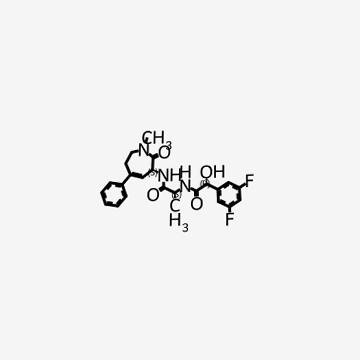 C[C@H](NC(=O)[C@H](O)c1cc(F)cc(F)c1)C(=O)N[C@H]1C=C(c2ccccc2)CCN(C)C1=O